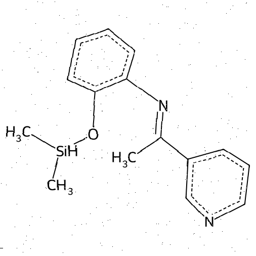 CC(=Nc1ccccc1O[SiH](C)C)c1cccnc1